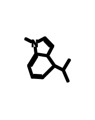 CC(C)C1C=CC=C2C1C=CN2C